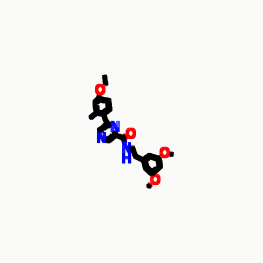 CCOc1ccc(-c2cncc(C(=O)NCCc3cc(OC)cc(OC)c3)n2)c(C)c1